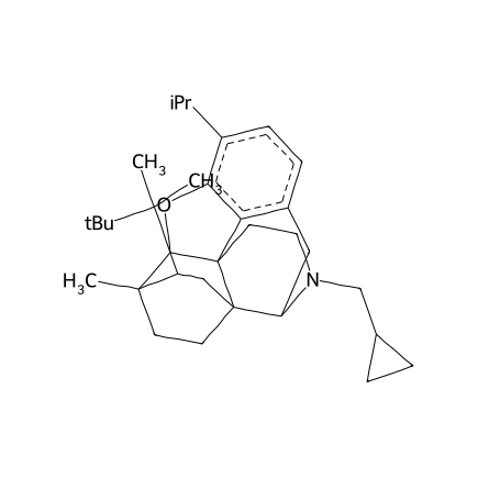 CC(C)c1ccc2c3c1OC1C4(C)CCC5(CC4C(C)(C)C(C)(C)C)C(C2)N(CC2CC2)CCC315